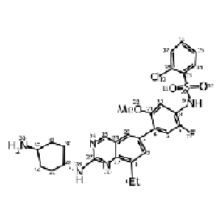 CCc1cc(-c2cc(F)c(NS(=O)(=O)c3ccccc3Cl)cc2OC)cc2cnc(N[C@H]3CC[C@H](N)CC3)nc12